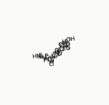 O=C1O[C@@H](CO)[C@H]2COc3cc(S(=O)(=O)N4CCN(c5cc(C(F)(F)C6C7CNCC76)cc(Cl)n5)CC4)ccc3N12